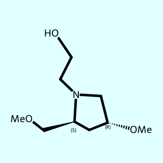 COC[C@@H]1C[C@@H](OC)CN1CCO